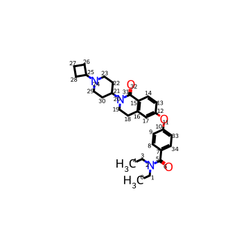 CCN(CC)C(=O)c1ccc(Oc2ccc3c(c2)CCN(C2CCN(C4CCC4)CC2)C3=O)cc1